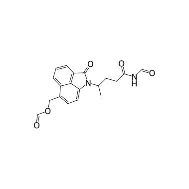 CC(CCC(=O)NC=O)N1C(=O)c2cccc3c(COC=O)ccc1c23